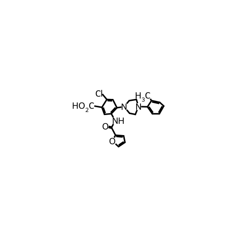 Cc1ccccc1N1CCN(c2cc(Cl)c(C(=O)O)cc2NC(=O)c2ccco2)CC1